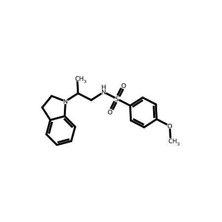 COc1ccc(S(=O)(=O)NCC(C)N2CCc3ccccc32)cc1